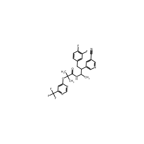 CC(NC(=O)C(C)(C)Oc1cc(C(F)(F)F)ncn1)C(Cc1ccc(F)c(F)c1)c1cncc(C#N)c1